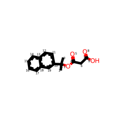 CC(C)(OC(=O)CC(=O)O)c1ccc2ccccc2c1